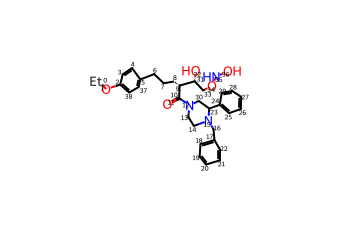 CCOc1ccc(CCC[C@@H](C(=O)N2CCN(Cc3ccccc3)C(c3ccccc3)C2)[C@H](O)CONO)cc1